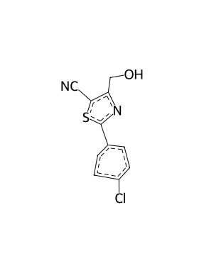 N#Cc1sc(-c2ccc(Cl)cc2)nc1CO